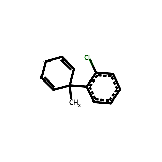 CC1(c2ccccc2Cl)C=C[CH]C=C1